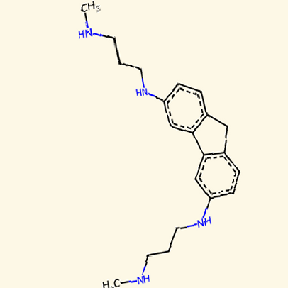 CNCCCNc1ccc2c(c1)-c1cc(NCCCNC)ccc1C2